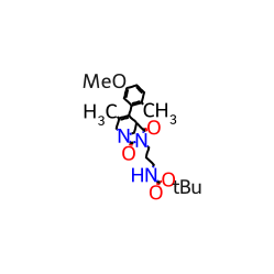 COc1ccc(C)c(C2=C(C)CN3CC2C(=O)N(CCCNC(=O)OC(C)(C)C)C3=O)c1